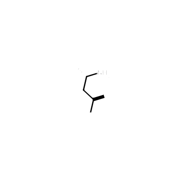 CCC[C@H](N)CC(C)=S